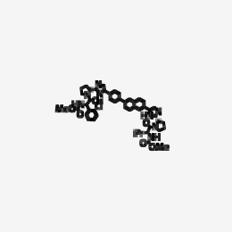 COC(=O)NC(C(=O)N1CCC[C@H]1c1ncc(-c2ccc(-c3ccc4cc(-c5cnc([C@@H]6CCCN6C(=O)C(NC(=O)OC)C(C)C)[nH]5)ccc4c3)cc2)[nH]1)c1ccccc1Cl